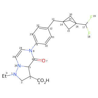 CCN1CC(C(=O)O)C2C(=O)N(c3ccc(CC45CC(C(F)F)(C4)C5)cc3)C=CN21